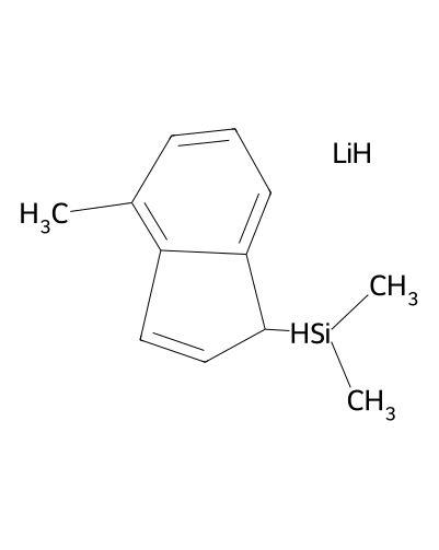 Cc1cccc2c1C=CC2[SiH](C)C.[LiH]